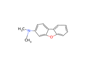 CN(C)c1ccc2c(c1)oc1ccccc12